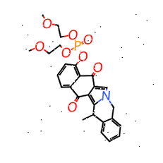 COCCOP(=O)(OCCOC)Oc1cccc2c1C(=O)c1cn3c(c1C2=O)C(C)c1ccccc1C3